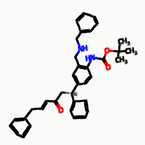 CC(C)(C)OC(=O)Nc1ccc([C@@H](CC(=O)C=CCc2ccccc2)c2ccccc2)cc1CNCc1ccccc1